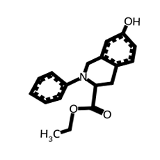 CCOC(=O)C1Cc2ccc(O)cc2CN1c1ccccc1